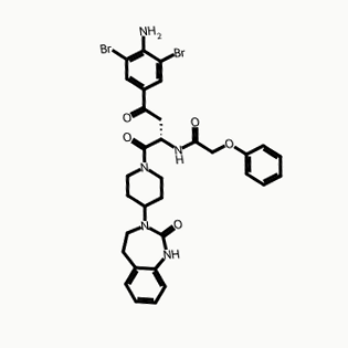 Nc1c(Br)cc(C(=O)C[C@H](NC(=O)COc2ccccc2)C(=O)N2CCC(N3CCc4ccccc4NC3=O)CC2)cc1Br